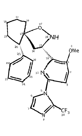 COc1ccc(-n2ccnc2C(F)(F)F)nc1[C@@H]1C[C@@]2(CCCC[C@H]2c2ccccc2)ON1